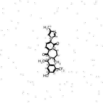 Cc1cn(-c2ccc3n(c2=O)CCC(C)N(C(C)c2cc(O)cc(C(F)(F)F)c2)C3=O)cn1